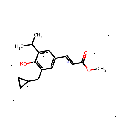 COC(=O)/C=C/c1cc(CC2CC2)c(O)c(C(C)C)c1